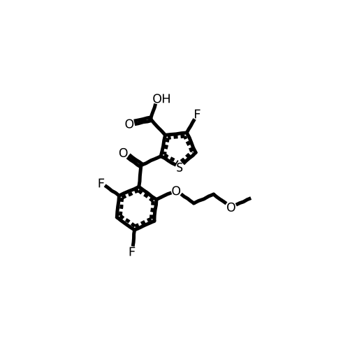 COCCOc1cc(F)cc(F)c1C(=O)c1scc(F)c1C(=O)O